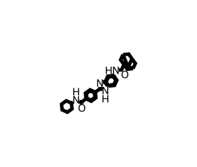 O=C(NC1CCCCC1)c1ccc(-c2nc3cc(NC(=O)C45CC6CC(CC(C6)C4)C5)ccc3[nH]2)cc1